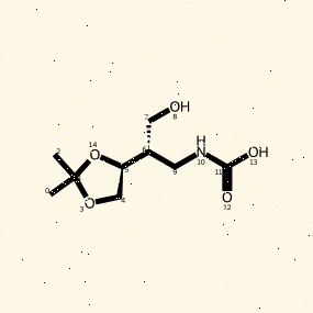 CC1(C)OC[C@H]([C@H](CO)CNC(=O)O)O1